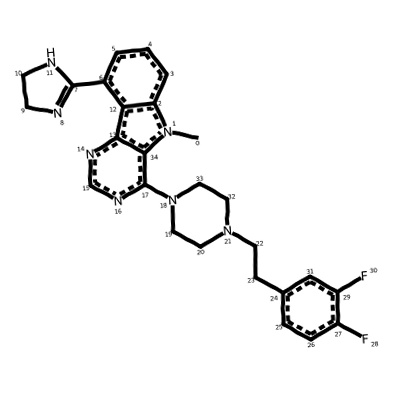 Cn1c2cccc(C3=NCCN3)c2c2ncnc(N3CCN(CCc4ccc(F)c(F)c4)CC3)c21